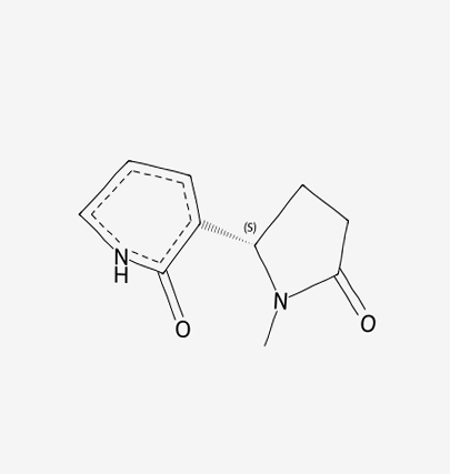 CN1C(=O)CC[C@H]1c1ccc[nH]c1=O